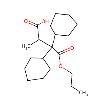 CCCOC(=O)C(C1CCCCC1)(C1CCCCC1)C(C)C(=O)O